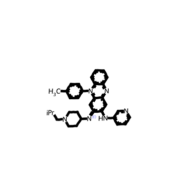 Cc1ccc(-n2c3c/c(=N\C4CCN(CC(C)C)CC4)c(Nc4cccnc4)cc-3nc3ccccc32)cc1